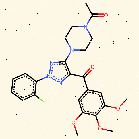 COc1cc(C(=O)c2nn(-c3ccccc3F)nc2N2CCN(C(C)=O)CC2)cc(OC)c1OC